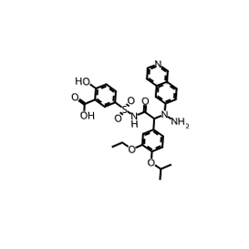 CCOc1cc(C(C(=O)NS(=O)(=O)c2ccc(O)c(C(=O)O)c2)N(N)c2ccc3cnccc3c2)ccc1OC(C)C